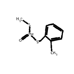 CS[PH](=O)Sc1ccccc1C